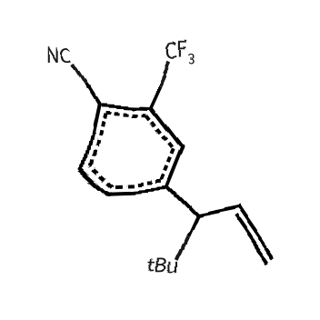 C=CC(c1ccc(C#N)c(C(F)(F)F)c1)C(C)(C)C